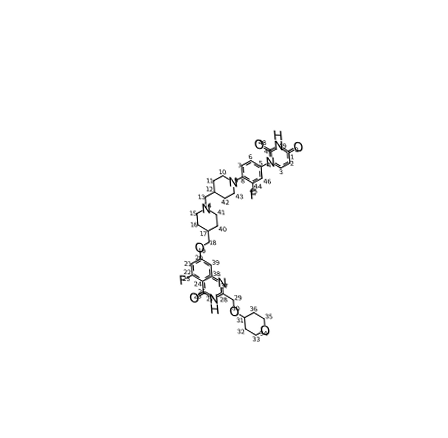 O=c1ccn(-c2ccc(N3CCC(CN4CCC(COc5cc(F)c6c(=O)[nH]c(COC7CCOCC7)nc6c5)CC4)CC3)c(F)c2)c(=O)[nH]1